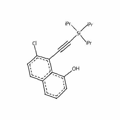 CC(C)[Si](C#Cc1c(Cl)ccc2cccc(O)c12)(C(C)C)C(C)C